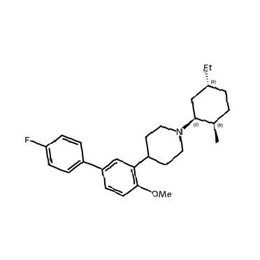 CC[C@@H]1CC[C@@H](C)[C@@H](N2CCC(c3cc(-c4ccc(F)cc4)ccc3OC)CC2)C1